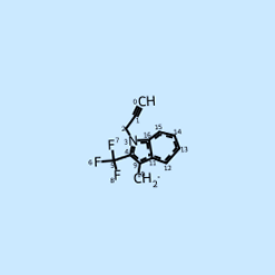 C#CCn1c(C(F)(F)F)c([CH2])c2ccccc21